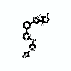 CN1CCC(O)(c2cc(-c3cccc(-c4ccnc(Nc5cnn(C6CNC6)c5)n4)n3)no2)C1=O